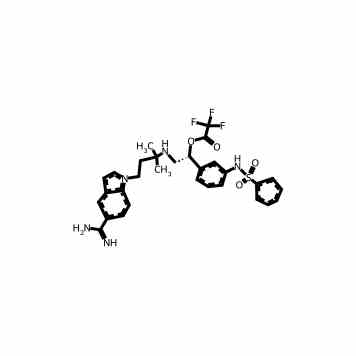 CC(C)(CCn1ccc2cc(C(=N)N)ccc21)NC[C@H](OC(=O)C(F)(F)F)c1cccc(NS(=O)(=O)c2ccccc2)c1